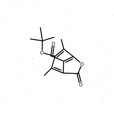 Cc1c(OC(C)(C)C)c(C)c2c(C=O)c1OC2=O